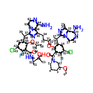 COC1CCCN(C(=O)c2c(F)c(Cl)cc(C(C)c3nc(C)c4c(N)nccn34)c2OC(C)CCc2nc(C(C)c3cc(Cl)c(F)c(C(=O)NC(C)C(C)O)c3OC(C)C)n3ccnc(N)c23)C1